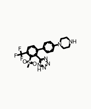 CS(=O)(=O)c1c(C(F)(F)F)ccc(-c2ccc(N3CCNCC3)cc2)c1-c1nnn[nH]1